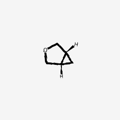 C1OC[C@H]2C[C@@H]12